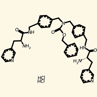 Cl.Cl.N[C@@H](Cc1cccnc1)C(=O)NCc1ccc(CN(Cc2ccc(CNC(=O)[C@@H](N)Cc3cccnc3)cc2)C(=O)OCc2ccccc2)cc1